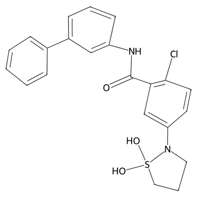 O=C(Nc1cccc(-c2ccccc2)c1)c1cc(N2CCCS2(O)O)ccc1Cl